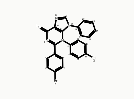 O=c1nc(-c2ccc(Br)cc2)n(-c2ccc(Cl)cc2)c2c1ncn2-c1ccccc1